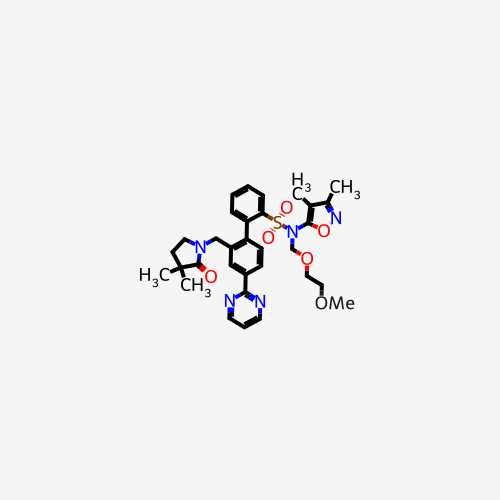 COCCOCN(c1onc(C)c1C)S(=O)(=O)c1ccccc1-c1ccc(-c2ncccn2)cc1CN1CCC(C)(C)C1=O